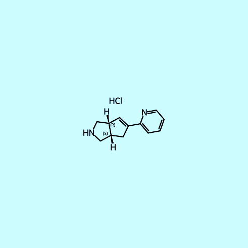 C1=C(c2ccccn2)C[C@@H]2CNC[C@H]12.Cl